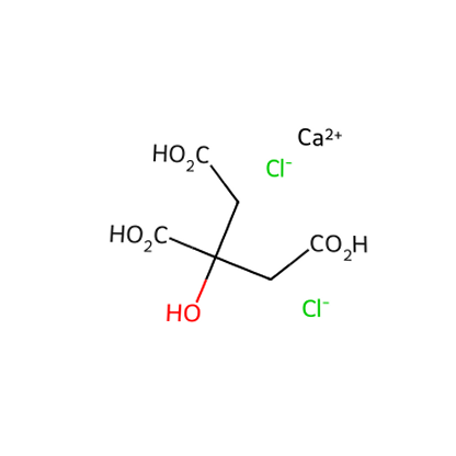 O=C(O)CC(O)(CC(=O)O)C(=O)O.[Ca+2].[Cl-].[Cl-]